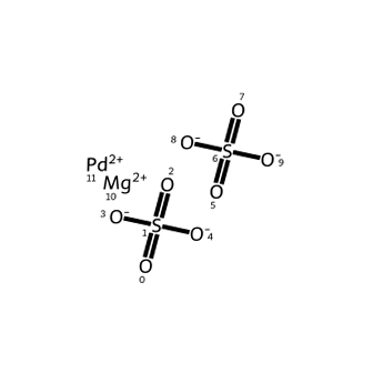 O=S(=O)([O-])[O-].O=S(=O)([O-])[O-].[Mg+2].[Pd+2]